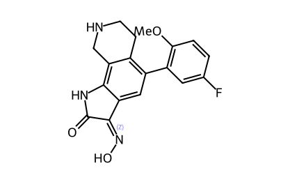 COc1ccc(F)cc1-c1cc2c(c3c1CCNC3)NC(=O)/C2=N\O